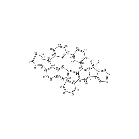 CC1(C)c2ccccc2-c2nc(-c3ccccc3)nc(-c3cccc(-c4cccc(-n5c6ccccc6c6ccc7ccccc7c65)c4)c3)c21